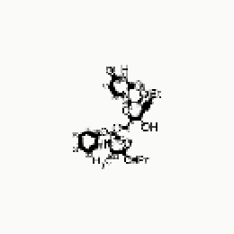 CCC#C[C@H](O)[C@@H](COP(=S)(N[C@@H](C)C(=O)OC(C)C)Oc1ccccc1)O[C@H](CO)n1ccc(=O)[nH]c1=O